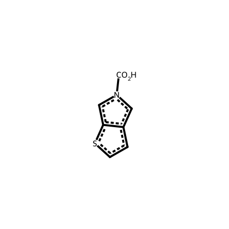 O=C(O)n1cc2ccsc2c1